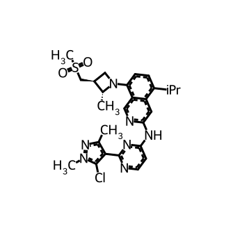 Cc1nn(C)c(Cl)c1-c1nccc(Nc2cc3c(C(C)C)ccc(N4C[C@H](CS(C)(=O)=O)[C@H]4C)c3cn2)n1